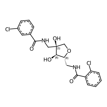 O=C(NC[C@]1(O)CO[C@H](CNC(=O)c2ccccc2Cl)[C@H]1O)c1cccc(Cl)c1